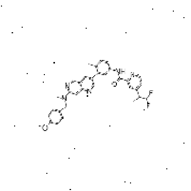 COc1ccc(CN(C)c2cc3ncc(-c4cc(NC(=O)c5cc(C(C)C(F)F)ccn5)ccc4C)cc3cn2)cc1